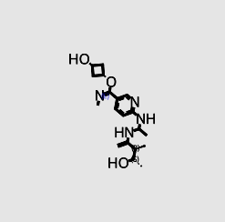 C=C(NC(C)Nc1ccc(/C(=N\C)O[C@H]2C[C@H](O)C2)cn1)[C@@H](C)[C@H](C)O